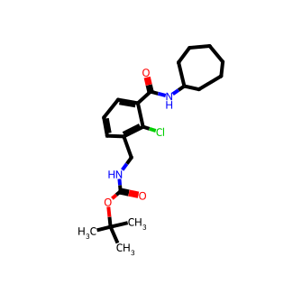 CC(C)(C)OC(=O)NCc1cccc(C(=O)NC2CCCCCC2)c1Cl